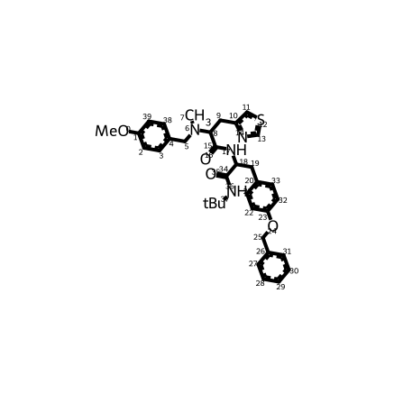 COc1ccc(CN(C)C(Cc2cscn2)C(=O)NC(Cc2ccc(OCc3ccccc3)cc2)C(=O)NC(C)(C)C)cc1